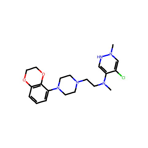 CN1C=C(Cl)C(N(C)CCN2CCN(c3cccc4c3OCCO4)CC2)=CN1